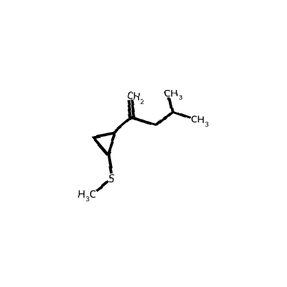 C=C(CC(C)C)C1CC1SC